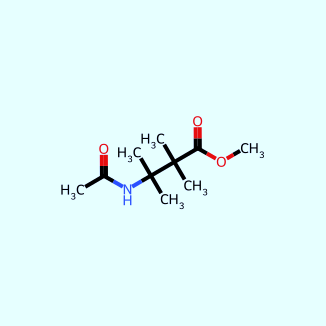 COC(=O)C(C)(C)C(C)(C)NC(C)=O